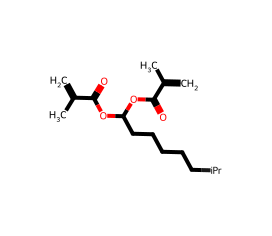 C=C(C)C(=O)OC(CCCCCC(C)C)OC(=O)C(=C)C